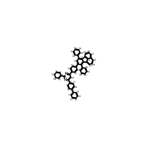 C1=CC(c2nc(-c3ccc(-c4ccccc4)cc3)cc(-c3ccc(-c4cc(-c5ccccc5)c5c(c4-c4ccccc4)-c4cccc6cccc-5c46)cc3)n2)=CCC1